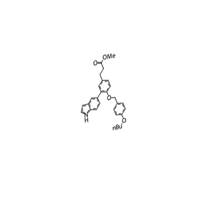 CCCCOc1ccc(COc2ccc(CCC(=O)OC)cc2-c2ccc3[nH]ccc3c2)cc1